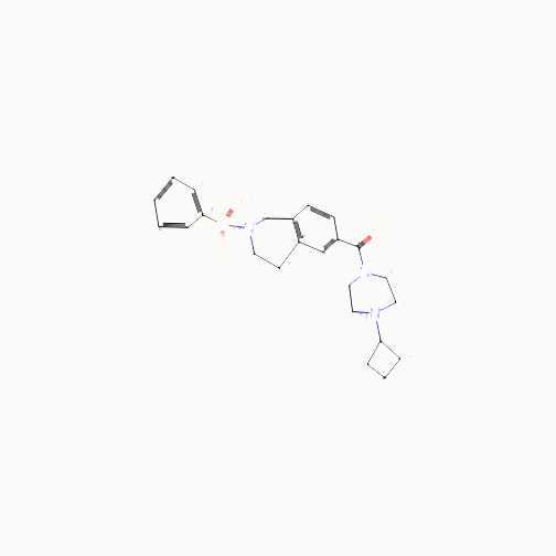 O=C(c1ccc2c(c1)CCN(S(=O)(=O)c1ccccc1)C2)N1CCN(C2CCC2)CC1